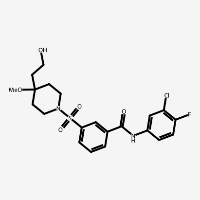 COC1(CCO)CCN(S(=O)(=O)c2cccc(C(=O)Nc3ccc(F)c(Cl)c3)c2)CC1